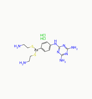 Cl.Cl.NCCS[As](SCCN)c1ccc(Nc2nc(N)nc(N)n2)cc1